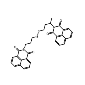 CC(CCSSCCCN1C(=O)c2cccc3cccc(c23)C1=O)N1C(=O)c2cccc3cccc(c23)C1=O